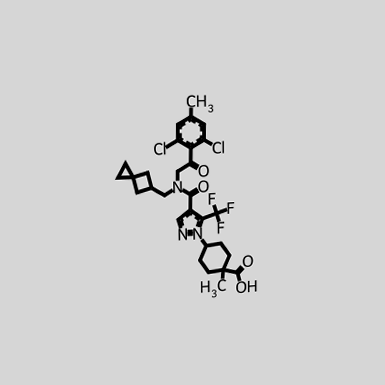 Cc1cc(Cl)c(C(=O)CN(CC2CC3(CC3)C2)C(=O)c2cnn(C3CCC(C)(C(=O)O)CC3)c2C(F)(F)F)c(Cl)c1